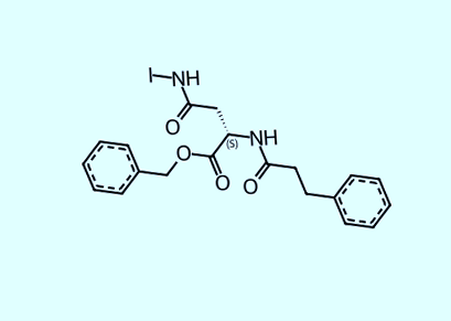 O=C(C[C@H](NC(=O)CCc1ccccc1)C(=O)OCc1ccccc1)NI